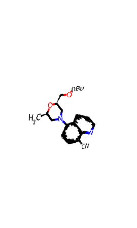 CCCCOC[C@H]1CN(c2ccc(C#N)c3ncccc23)C[C@@H](C)O1